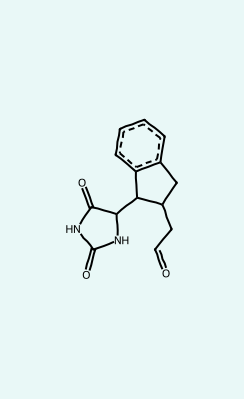 O=CCC1Cc2ccccc2C1C1NC(=O)NC1=O